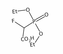 CCOP(=O)(OCC)C(F)C(=O)O